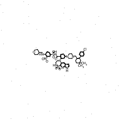 CC1(C)CCC(CN2CCN(c3ccc(C(=O)NS(=O)(=O)c4ccc(NCC5CCOCC5)c([N+](=O)[O-])c4)c(N4CCNS(=O)(=O)c5nc6[nH]ccc6cc54)c3)CC2)=C(c2ccc(Cl)cc2)C1